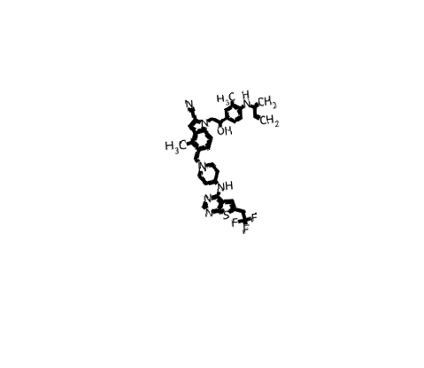 C=CC(=C)Nc1ccc(C(O)Cn2c(C#N)cc3c(C)c(CN4CCC(Nc5ncnc6sc(CC(F)(F)F)cc56)CC4)ccc32)cc1C